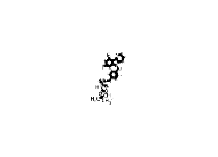 CC(C)(C)OC(=O)NS(=O)(=O)NCc1ccc(Cn2c3cccnc3c3c(F)cc(F)cc32)cc1